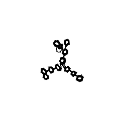 c1ccc(-c2ccc(-c3ccc(N(c4ccc(-c5ccc(-c6cccc7ccccc67)cc5)cc4)c4ccc(-c5ccc(-c6ccccc6)c(-c6cc7ccccc7o6)c5)cc4)cc3)cc2)cc1